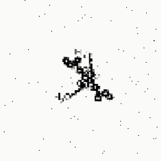 CCCCCCCCN1C(=O)c2cc(-c3ccc(-n4c5ccccc5c5c6ccccc6ccc54)cc3)c3c4c(cc(-c5ccc(-n6c7ccccc7c7c8c(ccc76)C=CCC8)cc5)c(c24)C1=O)C(=O)N(CCCCCCCC)C3=O